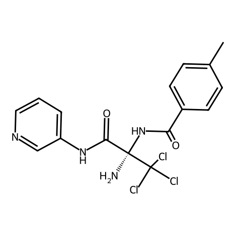 Cc1ccc(C(=O)N[C@](N)(C(=O)Nc2cccnc2)C(Cl)(Cl)Cl)cc1